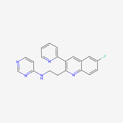 Fc1ccc2nc(CCNc3ccncn3)c(-c3ccccn3)cc2c1